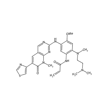 C=CC(=O)Nc1cc(Nc2ncc3cc(-c4cscn4)c(=O)n(C)c3n2)c(OC)cc1N(C)CCN(C)C